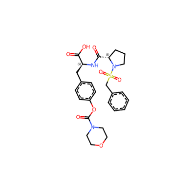 O=C(O)[C@H](Cc1ccc(OC(=O)N2CCOCC2)cc1)NC(=O)[C@@H]1CCCN1S(=O)(=O)Cc1ccccc1